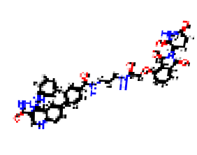 NC(=O)c1cnc2ccc(-c3ccc(C(=O)NCCCNC(=O)COc4cccc5c4C(=O)N(C4CCC(=O)NC4=O)C5=O)cc3)cc2c1Nc1ccccc1